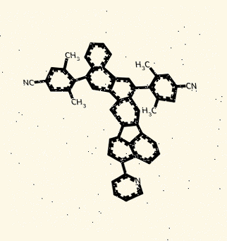 Cc1cc(C#N)cc(C)c1-c1cc2c3cc4c(cc3c(-c3c(C)cc(C#N)cc3C)cc2c2ccccc12)-c1cccc2c(-c3ccccn3)ccc-4c12